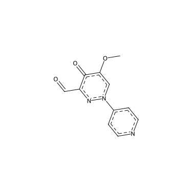 COc1cn(-c2ccncc2)nc(C=O)c1=O